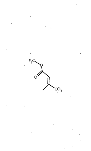 CC(=CC(=O)OC(F)(F)F)C(Cl)(Cl)Cl